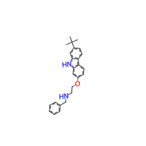 CC(C)(C)c1ccc2c(c1)[nH]c1cc(OCCNCc3ccccc3)ccc12